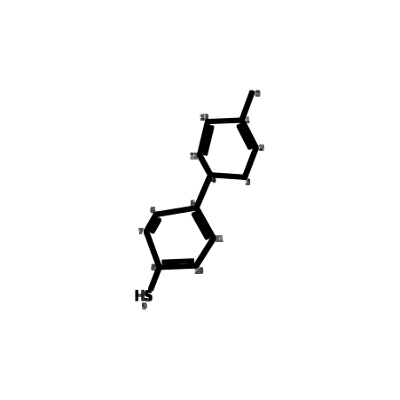 CC1=CCC(c2ccc(S)cc2)C=C1